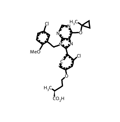 COc1ccc(Cl)cc1Cn1c(-c2ccc(OCC[C@H](C)C(=O)O)cc2Cl)nc2c(OC3(C)CC3)ncnc21